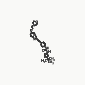 CC(C)(C)c1cc(NC(=O)Nc2ccc(C#Cc3cn4cc(OCCN5CCOCC5)ccc4n3)cc2)no1